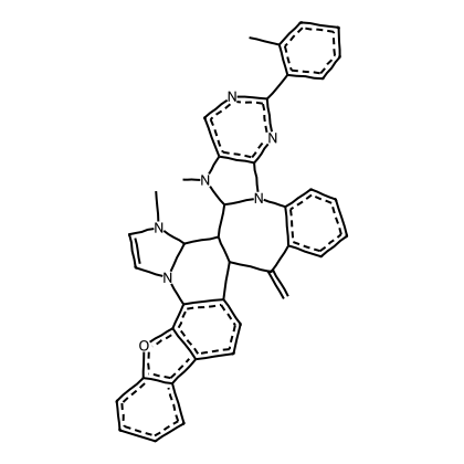 C=C1c2ccccc2N2c3nc(-c4ccccc4C)ncc3N(C)C2C2C1c1ccc3c(oc4ccccc43)c1N1C=CN(C)C21